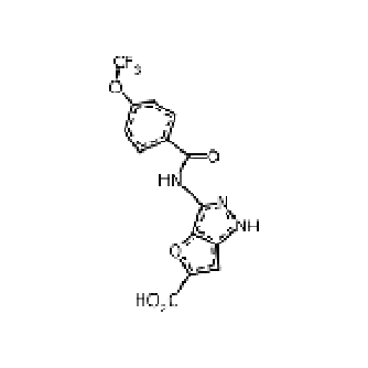 O=C(Nc1n[nH]c2cc(C(=O)O)oc12)c1ccc(OC(F)(F)F)cc1